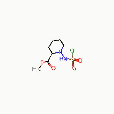 COC(=O)[C@H]1CCCCN1NS(=O)(=O)Cl